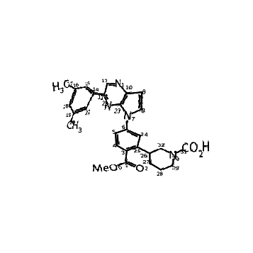 COC(=O)c1ccc(-n2ccc3ncc(-c4cc(C)cc(C)c4)nc32)cc1C1CCCN(C(=O)O)C1